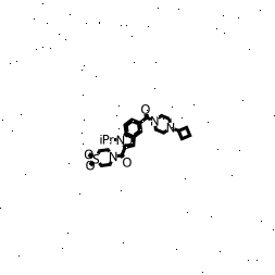 CC(C)n1c(C(=O)N2CCS(=O)(=O)CC2)cc2cc(C(=O)N3CCN(C4CCC4)CC3)ccc21